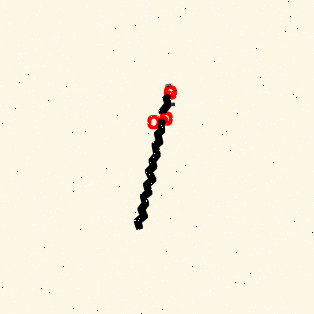 CCCCCCCCCCCCCCCCCC(=O)OC[CH]COC